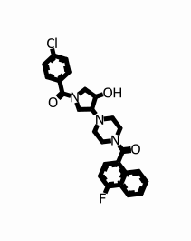 O=C(c1ccc(Cl)cc1)N1CC(O)C(N2CCN(C(=O)c3ccc(F)c4ccccc34)CC2)C1